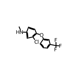 CNc1ccc(Oc2cccc(C(F)(F)F)c2)c(Cl)c1